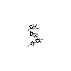 CNC(=O)c1cc(Oc2ccc3c(c2)nc(Nc2cc(-c4ccc(F)nc4)cc(F)c2OC)n3C)ccn1